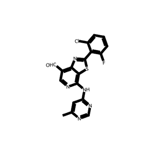 Cc1cc(Nc2ncc(C=O)c3nc(-c4c(F)cccc4Cl)sc23)ncn1